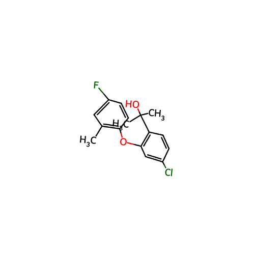 Cc1cc(F)ccc1Oc1cc(Cl)ccc1C(C)(C)O